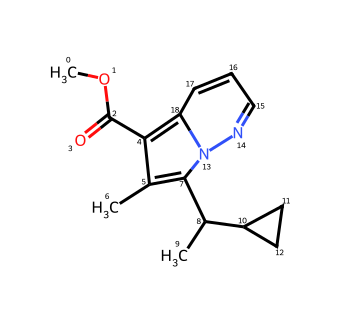 COC(=O)c1c(C)c(C(C)C2CC2)n2ncccc12